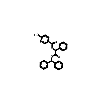 O=C(OC(C(=O)OC(c1ccccc1)c1ccccc1)c1ccccc1)c1ccc(O)nc1